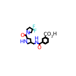 O=C(O)c1cccc(C(=O)NCC2CNC(C(=O)N3CCC(F)(F)C3)C2)c1